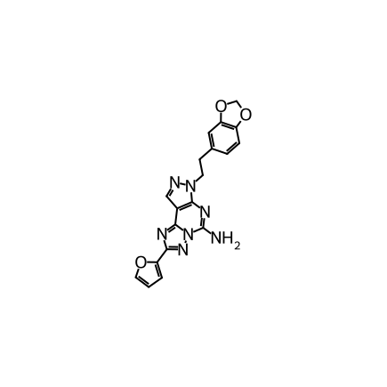 Nc1nc2c(cnn2CCc2ccc3c(c2)OCO3)c2nc(-c3ccco3)nn12